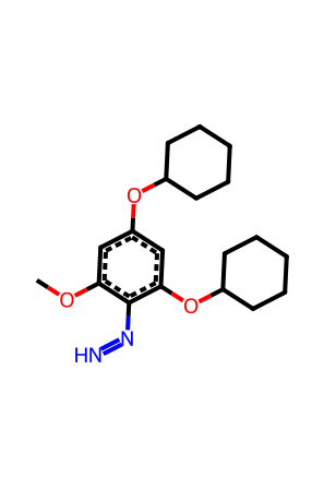 COc1cc(OC2CCCCC2)cc(OC2CCCCC2)c1N=N